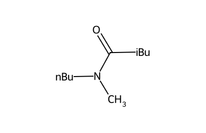 CCCCN(C)C(=O)C(C)CC